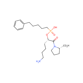 NCCCC[C@H](OP(=O)(O)CCCCCc1ccccc1)C(=O)N1CCC[C@H]1C(=O)O